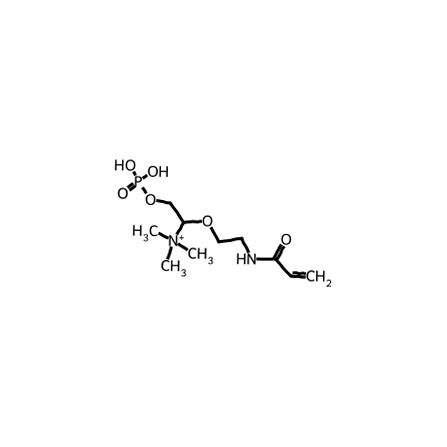 C=CC(=O)NCCOC(COP(=O)(O)O)[N+](C)(C)C